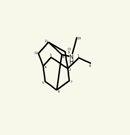 CCC12CC3CC(C1)C(NC)C(C3)C2